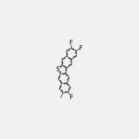 Cc1cc2cc3sc4cc5cc(F)c(F)cc5cc4c3cc2cc1F